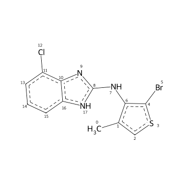 Cc1csc(Br)c1Nc1nc2c(Cl)cccc2[nH]1